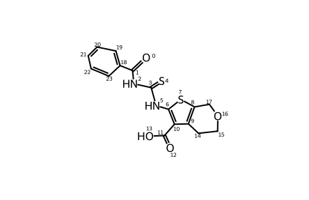 O=C(NC(=S)Nc1sc2c(c1C(=O)O)CCOC2)c1ccccc1